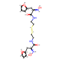 O=C(NCCSSCCNC(=O)/C(Cc1ccco1)=N/O)/C(Cc1ccco1)=N/O